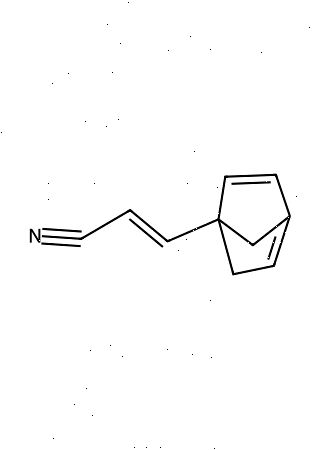 N#CC=CC12C=CC(=CC1)C2